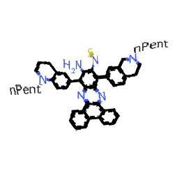 CCCCCN1CCc2ccc(-c3c(N=S)c(N)c(-c4ccc5c(c4)CCCN5CCCCC)c4nc5c6ccccc6c6ccccc6c5nc34)cc2C1